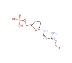 NC(/C=C\N[C@H]1CC[C@@H](COP(=O)(O)O)O1)=N/C=O